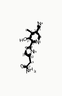 Cc1c(C#N)cnc(-c2nc(CC(N)=O)cs2)c1O